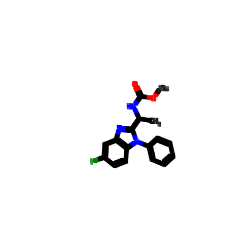 CC(NC(=O)OC(C)(C)C)c1nc2cc(F)ccc2n1-c1ccccc1